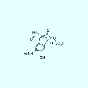 CC(=O)Nc1cc2c(cc1O)[C@H]1CN(C(=O)N1OS(=O)(=O)O)[C@H]2C(N)=O